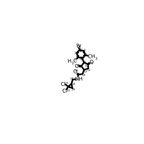 Cc1cc(Br)cc(C)c1C1C(=O)CC(CC(=O)NCC2CC2(Cl)Cl)C1=O